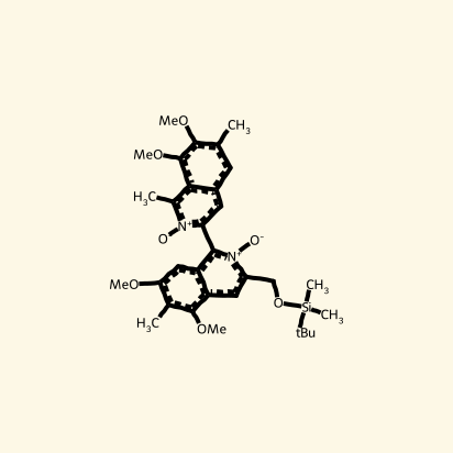 COc1cc2c(-c3cc4cc(C)c(OC)c(OC)c4c(C)[n+]3[O-])[n+]([O-])c(CO[Si](C)(C)C(C)(C)C)cc2c(OC)c1C